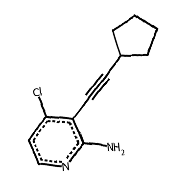 Nc1nccc(Cl)c1C#CC1CCCC1